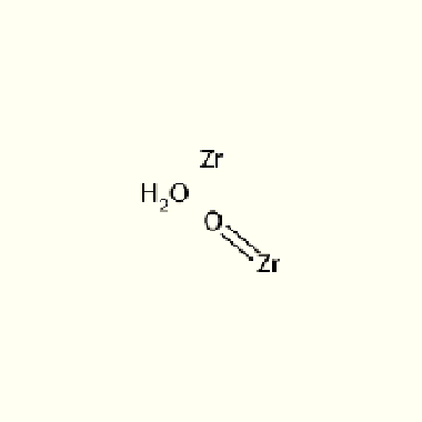 O.[O]=[Zr].[Zr]